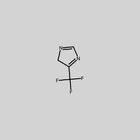 FC(F)(F)C1=NC=NC1